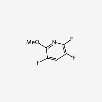 COc1nc(F)c(F)cc1F